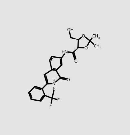 CC1(C)O[C@H](CO)[C@H](C(=O)Nc2ccc3cc(-c4ccccc4C(F)(F)F)[nH]c(=O)c3c2)O1